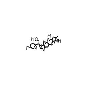 Cc1cc(Nc2nc3c(cc2F)ncn3[C@@H](CO)c2ccc(F)cn2)n[nH]1